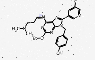 CCOc1nc(/N=C\CCN(C)C)c2nc(-c3cncc(F)c3)n(Cc3ccc(O)cc3)c2n1